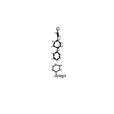 CCCCCCC[C@H]1CC[C@H](c2ccc(-c3ccc(C#CCl)cc3)cc2)CC1